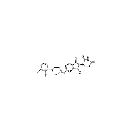 O=C1CCN(N2C(=O)c3ccc(CN4CCC(c5cccc(F)c5F)CC4)cc3C2=O)C(=O)N1